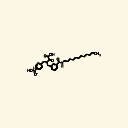 CCCCCCCCCCCCNC(=O)c1cccc(CN(Cc2ccc([NH+]([O-])O)cc2)C(=O)C(=O)O)c1